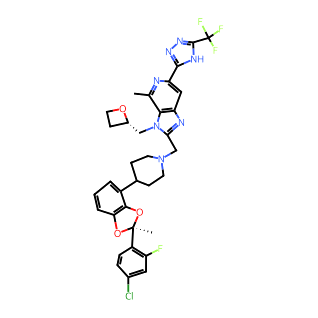 Cc1nc(-c2nnc(C(F)(F)F)[nH]2)cc2nc(CN3CCC(c4cccc5c4O[C@@](C)(c4ccc(Cl)cc4F)O5)CC3)n(C[C@@H]3CCO3)c12